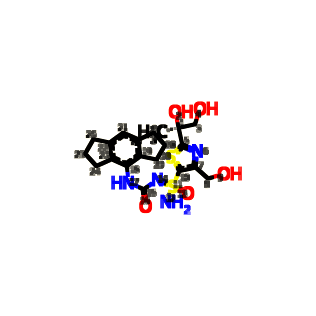 C[C@](O)(CO)c1nc(CO)c(S(N)(=O)=NC(=O)Nc2c3c(cc4c2CCC4)CCC3)s1